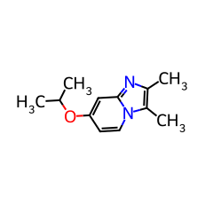 Cc1nc2cc(OC(C)C)ccn2c1C